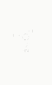 CC(CC(=O)NC1CCCCC1)c1ccc(O)cc1O